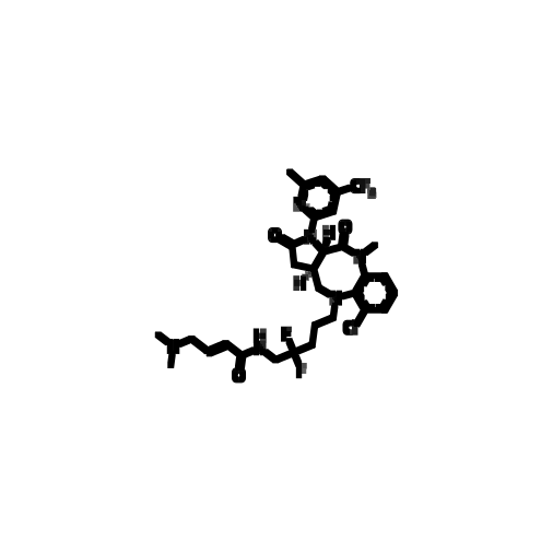 Cc1cc(C(F)(F)F)cc(N2C(=O)C[C@@H]3CN(CCCC(F)(F)CNC(=O)/C=C/CN(C)C)c4c(Cl)cccc4N(C)C(=O)[C@H]32)n1